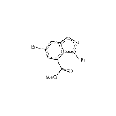 COC(=O)c1cc(Br)cc2cnn(C(C)C)c12